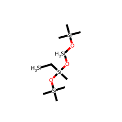 C[Si](C)(C)O[SiH2]O[Si](C)([C][SiH3])O[Si](C)(C)C